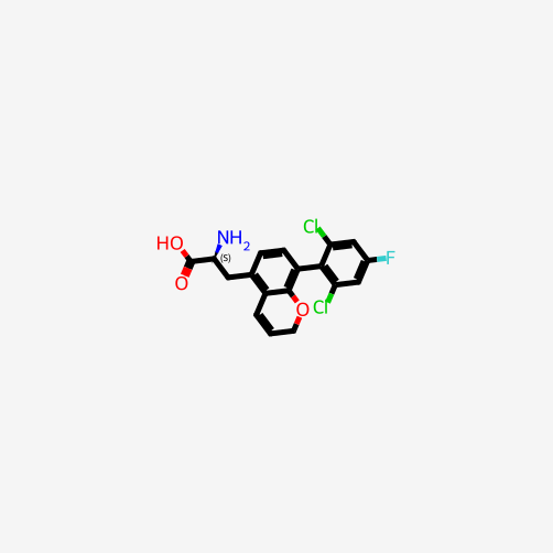 N[C@@H](Cc1ccc(-c2c(Cl)cc(F)cc2Cl)c2c1C=CCO2)C(=O)O